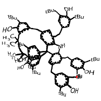 CC(C)(C)c1cc(Cc2cc(Cc3cc(C(C)(C)C)c(O)c(C(C)(C)C)c3)c(Nc3c(Cc4cc(C(C)(C)C)c(O)c(C(C)(C)C)c4)cc4cc3Cc3cc(C(C)(C)C)c(O)c(c3)C(C)(C)CC(C)(C)c3cc(cc(C(C)(C)C)c3O)C4)c(Cc3cc(C(C)(C)C)c(O)c(C(C)(C)C)c3)c2)cc(C(C)(C)C)c1O